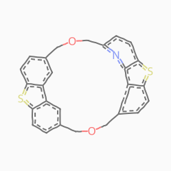 c1cc2sc3ccc4cc3c2cc1COCc1ccc2sc3ccc(nc3c2c1)COC4